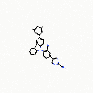 Cc1cc(C)cc(-c2ccc3c(c2)c2ccccc2n3-c2ccc(-c3cnc(C#N)nc3)cc2C#N)c1